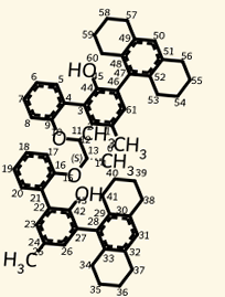 Cc1cc(-c2ccccc2OC(C)[C@H](C)Oc2ccccc2-c2cc(C)cc(-c3c4c(cc5c3CCCC5)CCCC4)c2O)c(O)c(-c2c3c(cc4c2CCCC4)CCCC3)c1